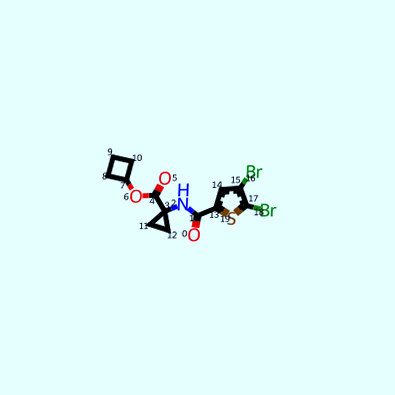 O=C(NC1(C(=O)OC2CCC2)CC1)c1cc(Br)c(Br)s1